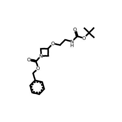 CC(C)(C)OC(=O)NCCOC1CN(C(=O)OCc2ccccc2)C1